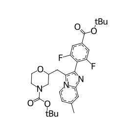 Cc1ccn2c(CC3CN(C(=O)OC(C)(C)C)CCO3)c(-c3c(F)cc(C(=O)OC(C)(C)C)cc3F)nc2c1